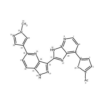 CC(=O)c1ccc(-c2ccnc3[nH]c(-c4n[nH]c5ccc(-c6cnn(C)c6)nc45)nc23)s1